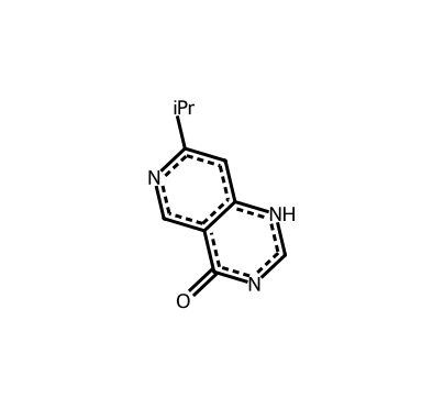 CC(C)c1cc2[nH]cnc(=O)c2cn1